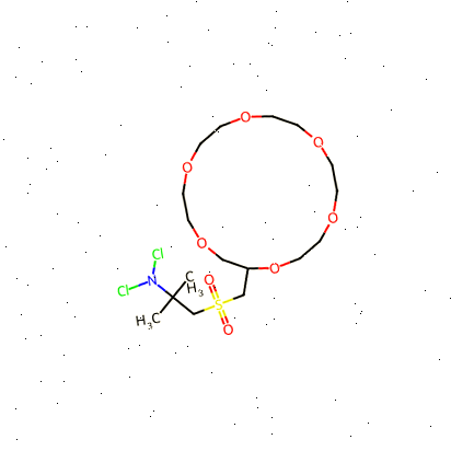 CC(C)(CS(=O)(=O)CC1COCCOCCOCCOCCOCCO1)N(Cl)Cl